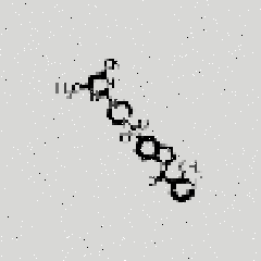 Cc1cc(C#N)nc(N2CCN(S(=O)(=O)c3ccc4c(c3)CCN4C(=O)c3cccnc3C)CC2)n1